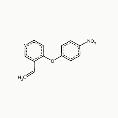 C=Cc1cnccc1Oc1ccc([N+](=O)[O-])cc1